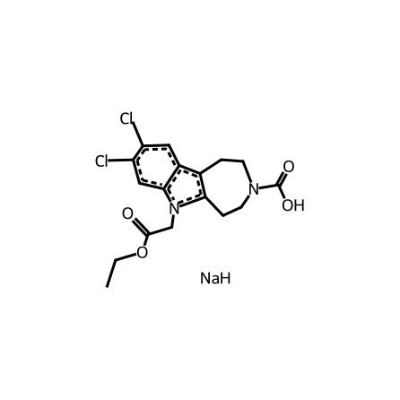 CCOC(=O)Cn1c2c(c3cc(Cl)c(Cl)cc31)CCN(C(=O)O)CC2.[NaH]